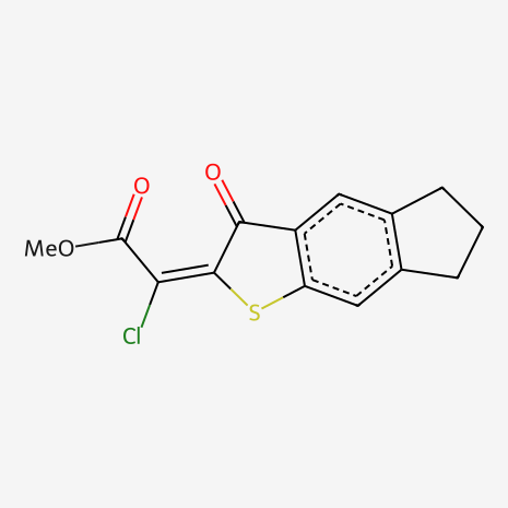 COC(=O)C(Cl)=C1Sc2cc3c(cc2C1=O)CCC3